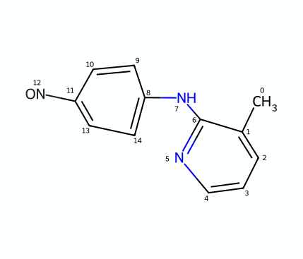 Cc1cccnc1Nc1ccc(N=O)cc1